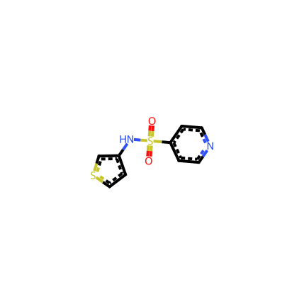 O=S(=O)(Nc1ccsc1)c1ccncc1